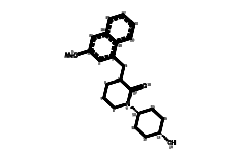 COc1cc(CC2CCCN([C@H]3CC[C@@H](O)CC3)C2=O)c2ccccc2c1